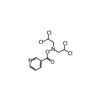 O=C(ON(CC(Cl)Cl)CC(Cl)Cl)c1cccnc1